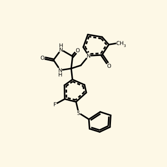 Cc1cccn(CC2(c3ccc(SC4=CC=C=C=C4)c(F)c3)NC(=O)NC2=O)c1=O